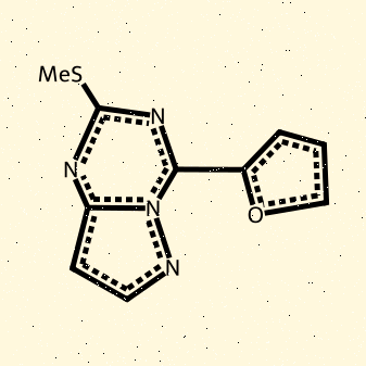 CSc1nc(-c2ccco2)n2nccc2n1